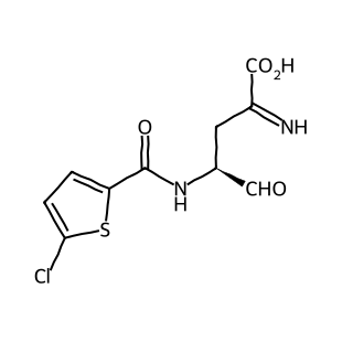 N=C(C[C@@H](C=O)NC(=O)c1ccc(Cl)s1)C(=O)O